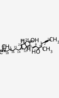 CC#CC[C@H](C)[C@@H](O)/C=C/[C@@H]1[C@H]2CC(CCCCCN(C)C)=C[C@H]2C[C@H]1O